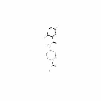 COC(=O)C1CCC(NC(=O)c2cc(F)cnc2Cl)CC1